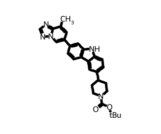 Cc1cc(-c2ccc3c(c2)[nH]c2ccc(C4CCN(C(=O)OC(C)(C)C)CC4)cc23)cn2ncnc12